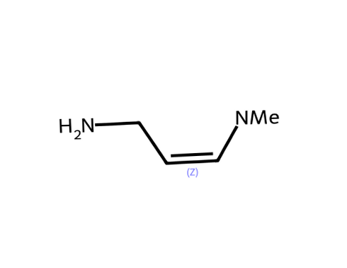 CN/C=C\CN